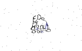 COC(=O)/C(O)=C(\O)C(O)/C=C\C[C@H]1CCC[C@@H]1/C=C/CCOc1cccc(C(F)(F)F)c1